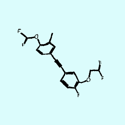 Cc1cc(C#Cc2ccc(F)c(OCC(F)F)c2)ccc1OC(F)F